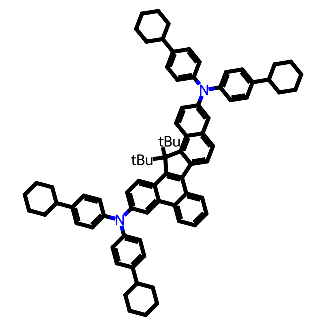 CC(C)(C)C1(C(C)(C)C)c2c(ccc3cc(N(c4ccc(C5CCCCC5)cc4)c4ccc(C5CCCCC5)cc4)ccc23)-c2c1c1ccc(N(c3ccc(C4CCCCC4)cc3)c3ccc(C4CCCCC4)cc3)cc1c1ccccc21